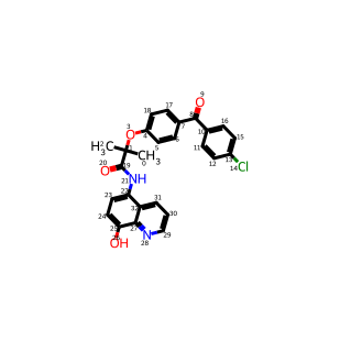 CC(C)(Oc1ccc(C(=O)c2ccc(Cl)cc2)cc1)C(=O)Nc1ccc(O)c2ncccc12